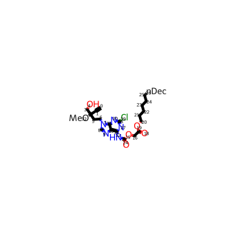 C#CC(CO)(CCn1cnc2c(NC(=O)OCC(=O)OCCCCCCCCCCCCCCCC)nc(Cl)nc21)OC